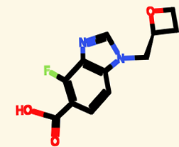 O=C(O)c1ccc2c(ncn2C[C@@H]2CCO2)c1F